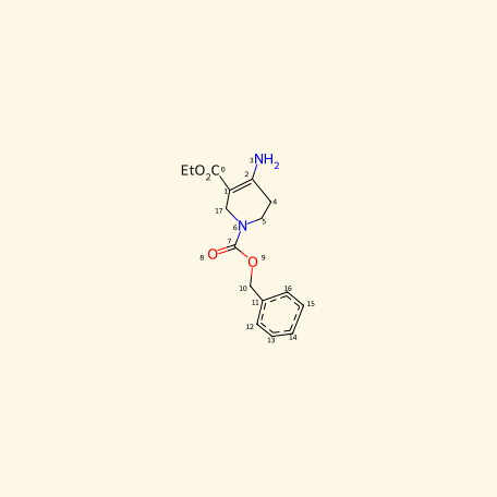 CCOC(=O)C1=C(N)CCN(C(=O)OCc2ccccc2)C1